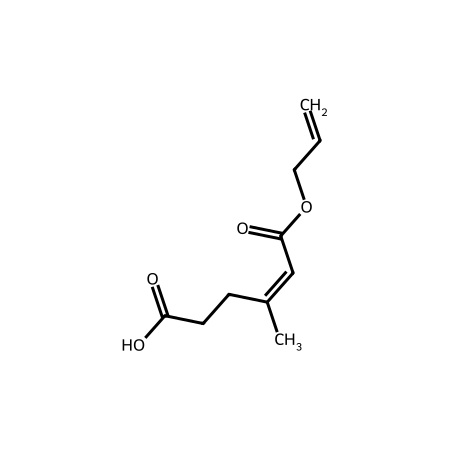 C=CCOC(=O)C=C(C)CCC(=O)O